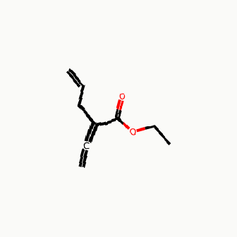 C=C=C(CC=C)C(=O)OCC